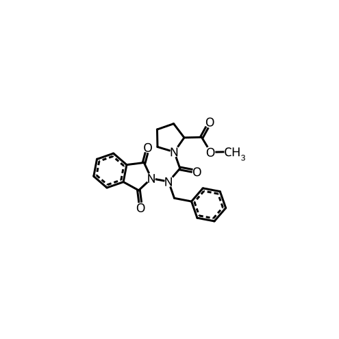 COC(=O)C1CCCN1C(=O)N(Cc1ccccc1)N1C(=O)c2ccccc2C1=O